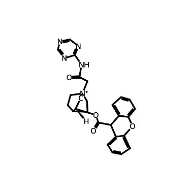 O=C(C[N+]12CCC(CC1)[C@@H](OC(=O)C1c3ccccc3Oc3ccccc31)C2)Nc1ncncn1